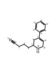 N#CCCCC1CC(c2ccccc2)=CCN1